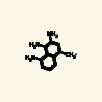 [CH2]c1cc(N)c(N)c2c(N)cccc12